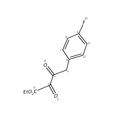 CCOC(=O)C(=O)C(=O)Cc1ccc(F)cc1